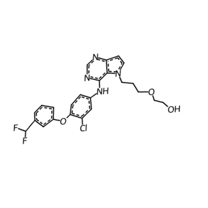 OCCOCCCn1ccc2ncnc(Nc3ccc(Oc4cccc(C(F)F)c4)c(Cl)c3)c21